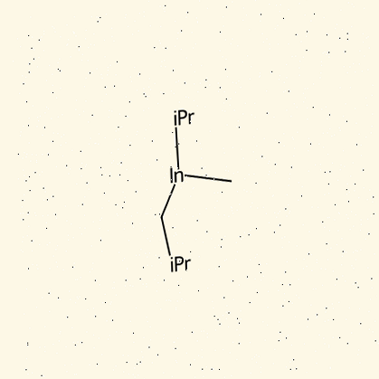 CC(C)[CH2][In]([CH3])[CH](C)C